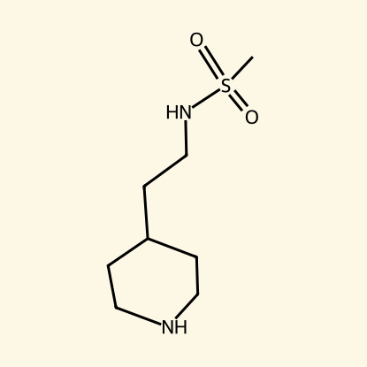 CS(=O)(=O)NCCC1CCNCC1